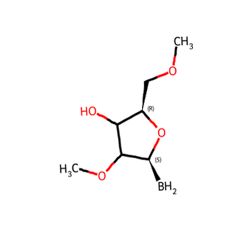 B[C@@H]1O[C@H](COC)C(O)C1OC